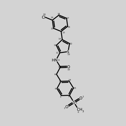 CS(=O)(=O)c1ccc(CC(=O)Nc2cc(-c3cccc(Cl)c3)cs2)cc1